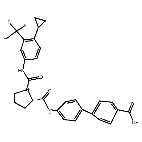 O=C(O)c1ccc(-c2ccc(NC(=O)[C@@H]3CCCN3C(=O)Nc3ccc(C4CC4)c(C(F)(F)F)c3)cc2)cc1